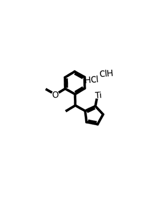 COc1ccccc1C(C)C1=[C]([Ti])CC=C1.Cl.Cl